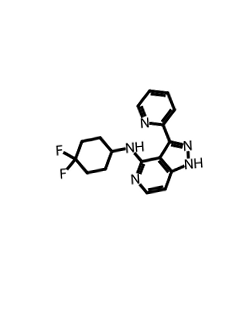 FC1(F)CCC(Nc2nccc3[nH]nc(-c4ccccn4)c23)CC1